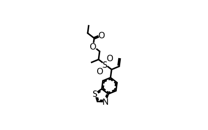 C=CC(c1ccc2ncsc2c1)S(=O)(=O)C(C)COC(=O)CC